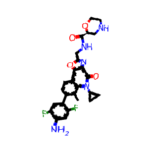 Cc1c(-c2cc(F)c(N)cc2F)ccc2c3oc(CNC(=O)[C@@H]4CNCCO4)nc3c(=O)n(C3CC3)c12